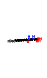 CCCCCCCCCCCCCCCCCCCCCC(=O)NCCCNCCC(O)O